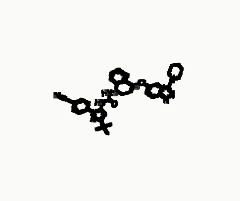 CC(C)(C)c1cc(NC(=O)N[C@H]2CC[C@@H](Oc3ccc4nnc(N5CCCCC5)n4c3)c3ccccc32)n(-c2ccc(C#N)cc2)n1